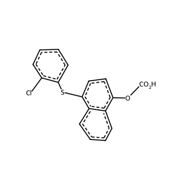 O=C(O)Oc1ccc(Sc2ccccc2Cl)c2ccccc12